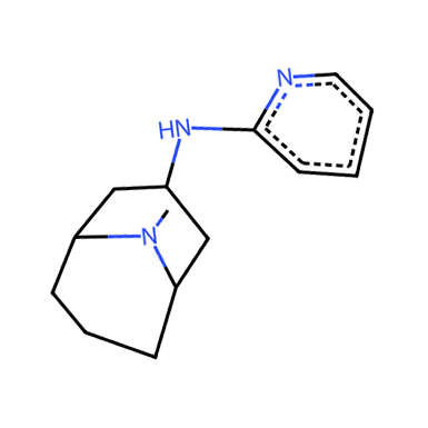 CN1C2CCCC1CC(Nc1ccccn1)C2